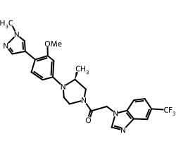 COc1cc(N2CCN(C(=O)Cn3cnc4cc(C(F)(F)F)ccc43)C[C@@H]2C)ccc1-c1cnn(C)c1